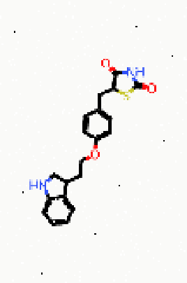 O=C1NC(=O)C(Cc2ccc(OCCC3CNc4ccccc43)cc2)S1